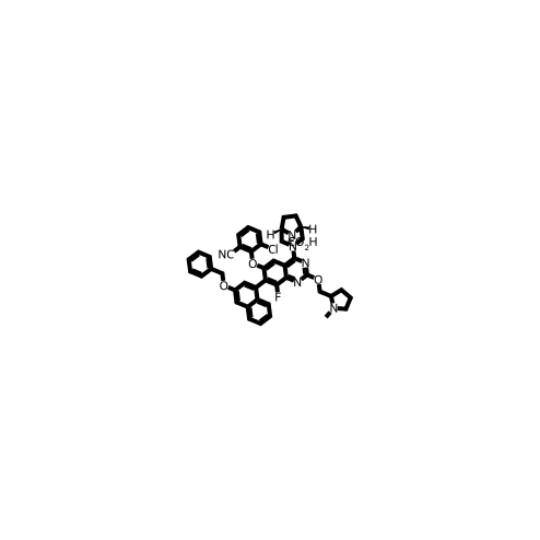 CN1CCCC1COc1nc(N2C[C@H]3CC[C@@H](C2)N3C(=O)O)c2cc(Oc3c(Cl)cccc3C#N)c(-c3cc(OCc4ccccc4)cc4ccccc34)c(F)c2n1